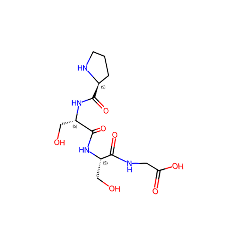 O=C(O)CNC(=O)[C@H](CO)NC(=O)[C@H](CO)NC(=O)[C@@H]1CCCN1